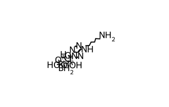 B[PH]1(O)OC[C@H]2O[C@@H](n3cnc4c(NCCCCCCN)ncnc43)[C@@H](O)C2O1